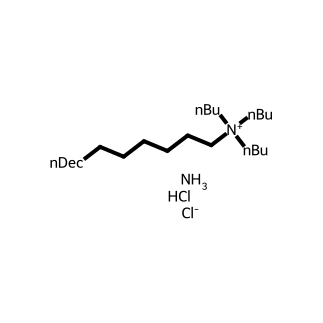 CCCCCCCCCCCCCCCC[N+](CCCC)(CCCC)CCCC.Cl.N.[Cl-]